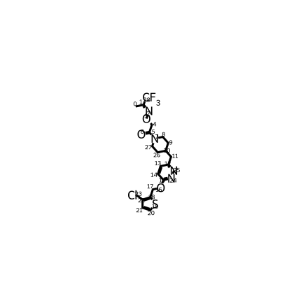 CC(=NOCC(=O)N1CCC(Cc2ccc(OCc3sccc3Cl)nn2)CC1)C(F)(F)F